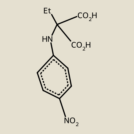 CCC(Nc1ccc([N+](=O)[O-])cc1)(C(=O)O)C(=O)O